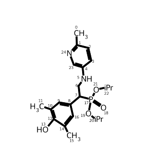 Cc1ccc(NCC(c2cc(C)c(O)c(C)c2)P(=O)(OC(C)C)OC(C)C)cn1